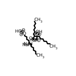 CCCCCCCCC(C(=O)O)C(CCCCCCCC)(C(=O)O)S(=O)(=O)O.CCCCCCCCCCCCOS(=O)(=O)O.[NaH].[NaH]